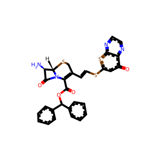 N[C@@H]1C(=O)N2C(C(=O)OC(c3ccccc3)c3ccccc3)=C(C=CSc3cc(=O)c4nccnc4s3)CS[C@@H]12